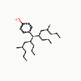 CCCC(C)CC(CCC)C(c1ccc(O)cc1)C(CCC)CC(C)CCC